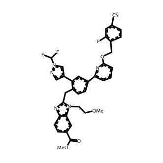 COCCn1c(Cc2ccc(-c3cccc(OCc4ccc(C#N)cc4F)n3)cc2-c2cnn(C(F)F)c2)nc2ccc(C(=O)OC)cc21